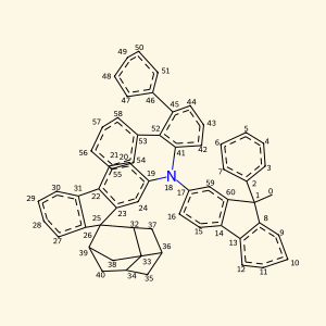 CC1(c2ccccc2)c2ccccc2-c2ccc(N(c3ccc4c(c3)C3(c5ccccc5-4)C4CC5CC(C4)CC3C5)c3cccc(-c4ccccc4)c3-c3ccccc3)cc21